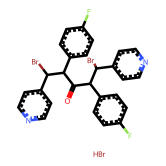 Br.O=C(C(c1ccc(F)cc1)C(Br)c1ccncc1)C(c1ccc(F)cc1)C(Br)c1ccncc1